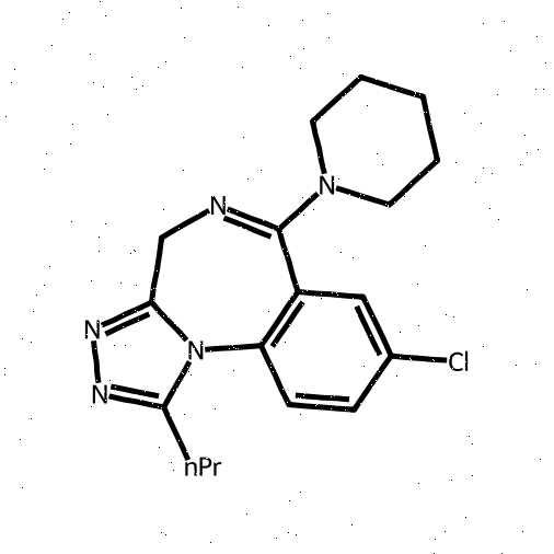 CCCc1nnc2n1-c1ccc(Cl)cc1C(N1CCCCC1)=NC2